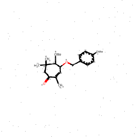 COc1ccc(COC2C=C(C)C(=O)CC(C)(C)C2OC)cc1